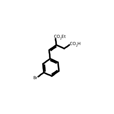 CCOC(=O)/C(=C/c1cccc(Br)c1)CC(=O)O